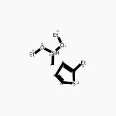 CCO[SiH](C)OCC.CCc1cccs1